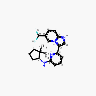 CC1(C)CCC[C@@H]1Nc1cccc(-c2cnc3ccc(C(F)F)cn23)n1